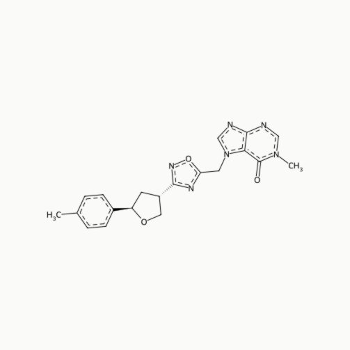 Cc1ccc([C@H]2C[C@H](c3noc(Cn4cnc5ncn(C)c(=O)c54)n3)CO2)cc1